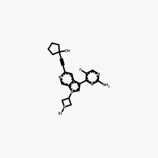 CCN1CC(n2cc(-c3nc(N)ncc3F)c3cc(C#CC4(O)CCCC4)ncc32)C1